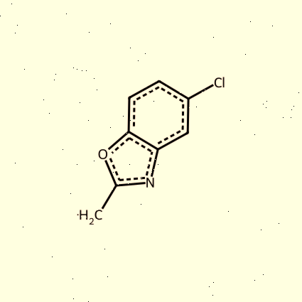 [CH2]c1nc2cc(Cl)ccc2o1